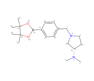 CN(C)[C@H]1CCN(Cc2ccc(B3OC(C)(C)C(C)(C)O3)cc2)C1